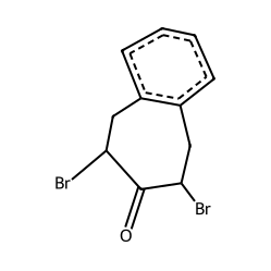 O=C1C(Br)Cc2ccccc2CC1Br